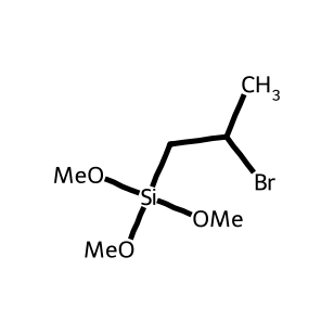 CO[Si](CC(C)Br)(OC)OC